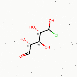 O=C[C@H](O)[C@H](O)[C@H](O)C(O)Cl